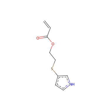 C=CC(=O)OCCSc1cc[nH]c1